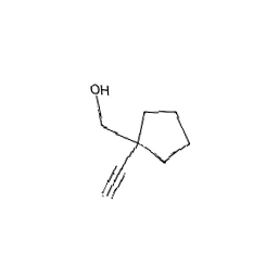 [C]#CC1(CO)CCCC1